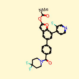 CNC(=O)Oc1cc2cc(-c3ccc(C(=O)N4CCC(F)(F)CC4)cc3)cc(-c3ccncc3F)c2o1